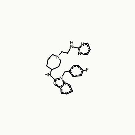 Fc1ccc(Cn2c(NC3CCCN(CCNc4ncccn4)CC3)nc3ccccc32)cc1